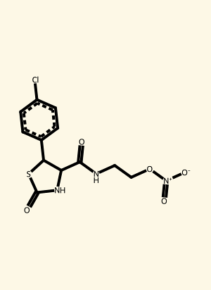 O=C1NC(C(=O)NCCO[N+](=O)[O-])C(c2ccc(Cl)cc2)S1